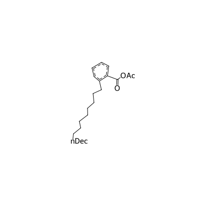 CCCCCCCCCCCCCCCCCCc1ccccc1C(=O)OC(C)=O